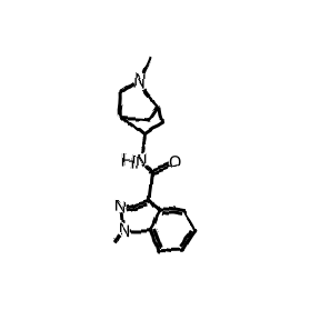 CN1CC2CC1CC2NC(=O)c1nn(C)c2ccccc12